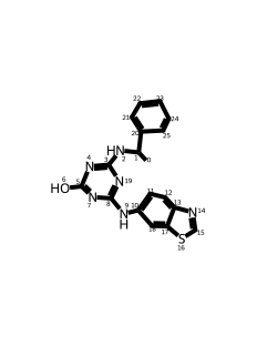 CC(Nc1nc(O)nc(Nc2ccc3ncsc3c2)n1)c1ccccc1